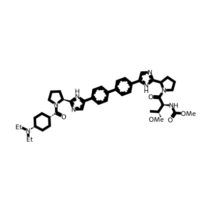 CCN(CC)[C@H]1CC[C@@H](C(=O)N2CCC[C@H]2c2ncc(-c3ccc(-c4ccc(-c5cnc(C6CCCN6C(=O)[C@@H](NC(=O)OC)[C@@H](C)OC)[nH]5)cc4)cc3)[nH]2)CC1